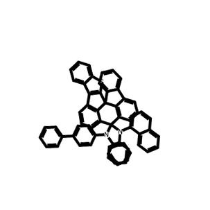 c1ccc(-c2ccc(N(c3ccccc3)C3(N(c4ccccc4)c4cccc5ccccc45)c4cccc5c4C4(c6ccccc6-5)c5sc6ccccc6c5-c5cccc3c54)cc2)cc1